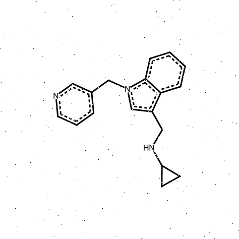 c1cncc(Cn2cc(CNC3CC3)c3ccccc32)c1